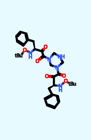 CC(C)(C)ON[C@@H](Cc1ccccc1)C(=O)C(=O)N1CNCN(C(=O)C(=O)[C@H](Cc2ccccc2)NOC(C)(C)C)C1